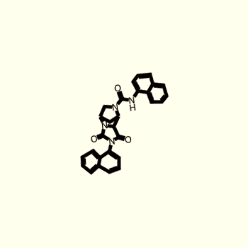 O=C1C2C3CC(CN3C(=O)Nc3cccc4ccccc34)N2C(=O)N1c1cccc2ccccc12